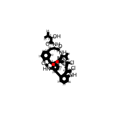 CC(C)C1NC(=O)[C@@H](NC(=O)[C@@H](O)C(C)C)Cc2ccc3c(c2)[C@]24c5cccc(c5NC2O3)-c2cccc3[nH]c(Cl)c(c23)-c2oc(nc2Cl)-c2nc1oc24